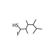 CC(C)C(C)C(C)C(C)C(F)S